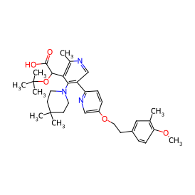 COc1ccc(CCOc2ccc(-c3cnc(C)c(C(OC(C)(C)C)C(=O)O)c3N3CCC(C)(C)CC3)nc2)cc1C